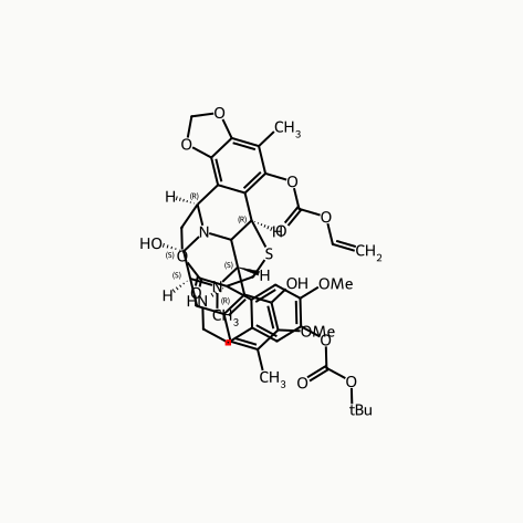 C=COC(=O)Oc1c(C)c2c(c3c1[C@H]1SC[C@]4(NCCc5cc(OC(=O)OC(C)(C)C)c(OC)cc54)C(=O)OC[C@@H]3N3C1[C@@H]1c4c(cc(C)c(OC)c4O)C[C@@H]([C@@H]3O)N1C)OCO2